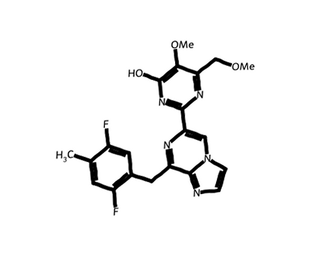 COCc1nc(-c2cn3ccnc3c(Cc3cc(F)c(C)cc3F)n2)nc(O)c1OC